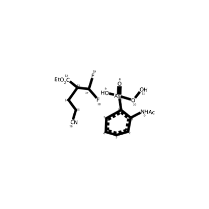 CC(=O)Nc1ccccc1[As](=O)(O)OO.CCOC(=O)C(CCC#N)C(F)F